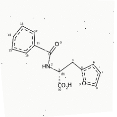 O=C(N[C@H](Cc1ccco1)C(=O)O)c1ccccc1